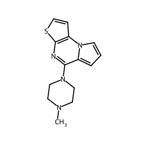 CN1CCN(c2nc3sccc3n3cccc23)CC1